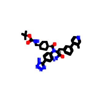 Cc1cnccc1-c1cccc(C[C@@H](C(N)=O)N(c2ccc(-c3nnn[nH]3)cc2)C(=O)[C@H]2CC[C@H](CNC(=O)OC(C)(C)C)CC2)c1